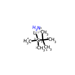 N.[Li][Si](C)(C)C(C)(C)C